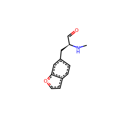 CN[C@H](C=O)Cc1ccc2ccoc2c1